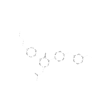 CCCCc1ccc(-c2cn(OC(C)=O)cc(-c3ccc(Sc4cccc(OC)c4)cc3)c2=S)cc1